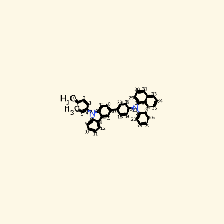 C=C/C=C\C(=C/C)n1c2ccccc2c2cc(-c3ccc(N(c4ccccc4)c4cccc5ccccc45)cc3)ccc21